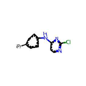 CC(C)c1ccc(Nc2ccnc(Cl)n2)cc1